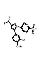 COc1ccc(-c2cc(C(F)F)nn2-c2ccc(S(C)(=O)=O)nc2)cc1F